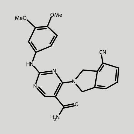 COc1ccc(Nc2ncc(C(N)=O)c(N3Cc4cccc(C#N)c4C3)n2)cc1OC